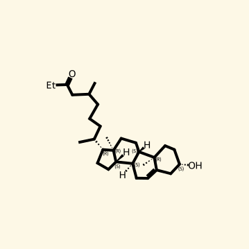 CCC(=O)CC(C)CCCC(C)[C@H]1CC[C@H]2[C@@H]3CC=C4C[C@@H](O)CC[C@]4(C)[C@H]3CC[C@]12C